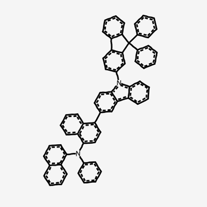 c1ccc(N(c2cccc3ccccc23)c2ccc(-c3ccc4c(c3)c3ccccc3n4-c3ccc4c(c3)C(c3ccccc3)(c3ccccc3)c3ccccc3-4)c3ccccc23)cc1